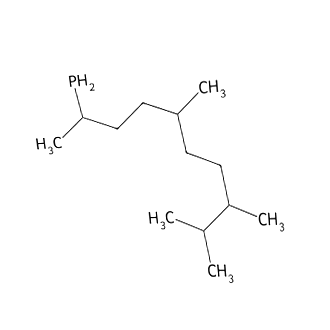 CC(P)CCC(C)CCC(C)C(C)C